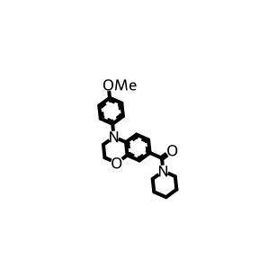 COc1ccc(N2CCOc3cc(C(=O)N4CCCCC4)ccc32)cc1